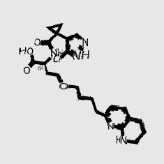 O=C(O)[C@H](CCOCCCCc1ccc2c(n1)NCCC2)NC(=O)C1(c2cn[nH]c2Cl)CC1